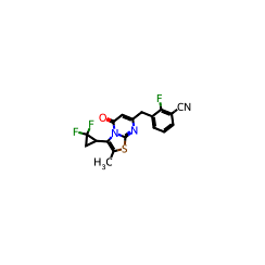 Cc1sc2nc(Cc3cccc(C#N)c3F)cc(=O)n2c1C1CC1(F)F